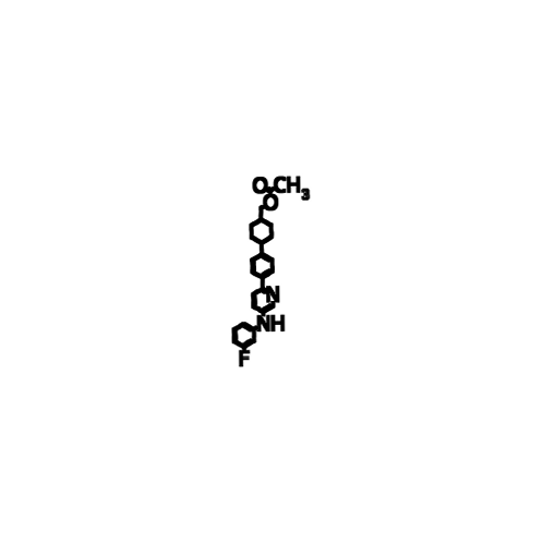 CC(=O)OCC1CCC(c2ccc(-c3ccc(Nc4cccc(F)c4)cn3)cc2)CC1